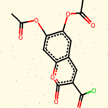 CC(=O)Oc1cc2cc(C(=O)Cl)c(=O)oc2cc1OC(C)=O